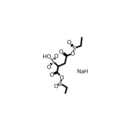 CCS(=O)OC(=O)CC(C(=O)OS(=O)CC)S(=O)(=O)O.[NaH]